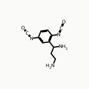 NCCC(N)c1cc(N=C=O)ccc1N=C=O